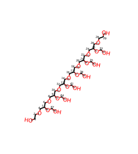 OCCOCC(COCC(COCC(COCC(COCC(COCC(COCCO)OCO)OCO)OCO)OCO)OCO)OCO